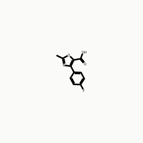 Cc1nc(-c2ccc(F)cc2)c(C(=O)O)o1